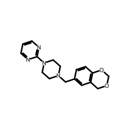 c1cnc(N2CCN(Cc3ccc4c(c3)COCO4)CC2)nc1